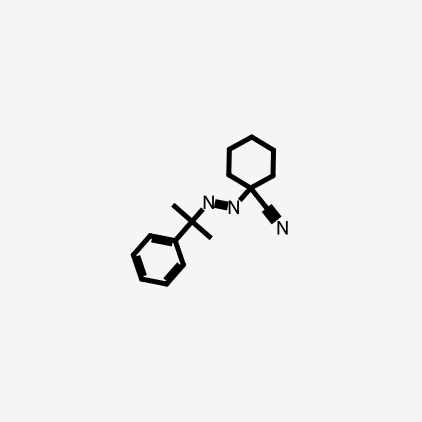 CC(C)(N=NC1(C#N)CCCCC1)c1ccccc1